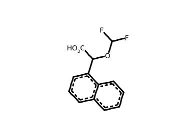 O=C(O)C(OC(F)F)c1cccc2ccccc12